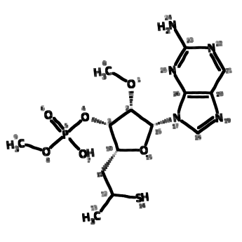 CO[C@H]1[C@@H](OP(=O)(O)OC)[C@@H](CC(C)S)O[C@H]1n1cnc2cnc(N)nc21